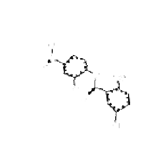 O=C(Oc1ccc([N+](=O)[O-])cc1Cl)c1cc(Cl)ccc1O